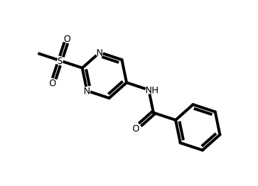 CS(=O)(=O)c1ncc(NC(=O)c2ccccc2)cn1